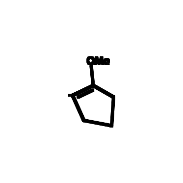 COC1=[C]CCC1